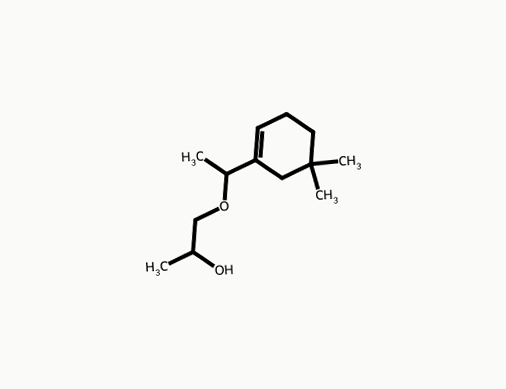 CC(O)COC(C)C1=CCCC(C)(C)C1